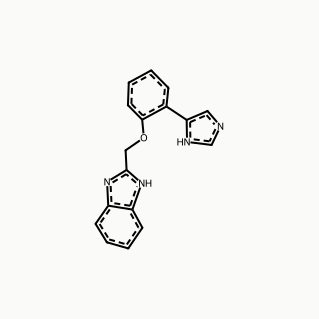 c1ccc(-c2cnc[nH]2)c(OCc2nc3ccccc3[nH]2)c1